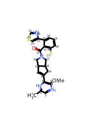 COc1ncc(C)nc1C1=CC2CN(C(=O)c3c(F)cccc3-c3cscn3)CC2C1